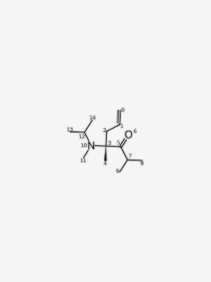 C=CC[C@](C)(C(=O)C(C)C)N(C)C(C)C